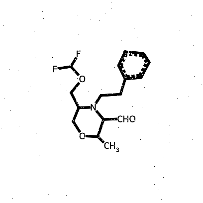 CC1OCC(COC(F)F)N(CCc2ccccc2)C1C=O